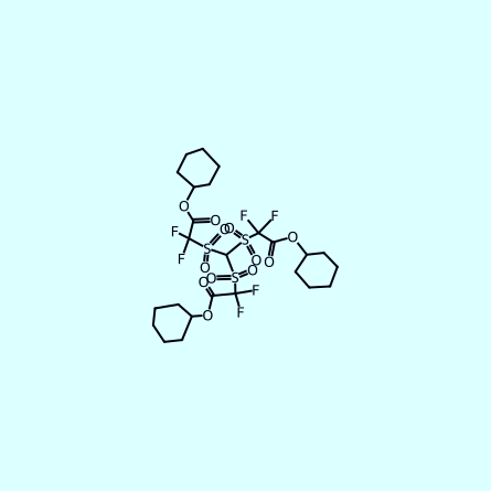 O=C(OC1CCCCC1)C(F)(F)S(=O)(=O)C(S(=O)(=O)C(F)(F)C(=O)OC1CCCCC1)S(=O)(=O)C(F)(F)C(=O)OC1CCCCC1